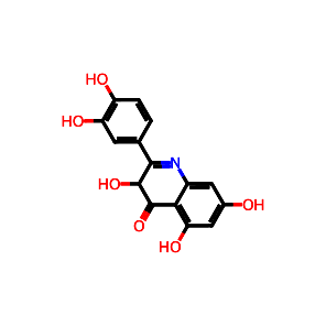 O=C1c2c(O)cc(O)cc2N=C(c2ccc(O)c(O)c2)C1O